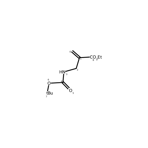 C=C(CNC(=O)OC(C)(C)C)C(=O)OCC